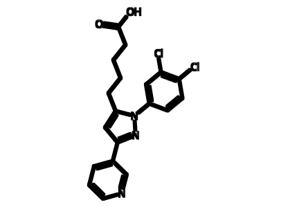 O=C(O)CCCCc1cc(-c2cccnc2)nn1-c1ccc(Cl)c(Cl)c1